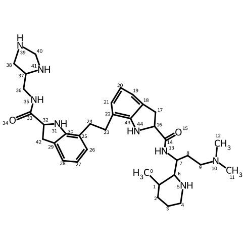 CC1CCCNC1C(CCN(C)C)NC(=O)C1Cc2cccc(CCc3cccc4c3NC(C(=O)NCC3CNCN3)C4)c2N1